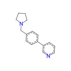 c1cncc(-c2ccc(CN3CCCC3)cc2)c1